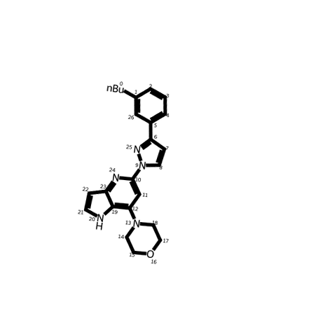 CCCCc1cccc(-c2ccn(-c3cc(N4CCOCC4)c4[nH]ccc4n3)n2)c1